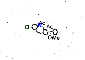 COc1cc2c(cc1-c1ccccc1C(C)=O)CN(C(C)=O)c1ccc(Cl)cc1/C=C\2